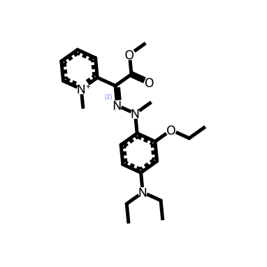 CCOc1cc(N(CC)CC)ccc1N(C)/N=C(\C(=O)OC)c1cccc[n+]1C